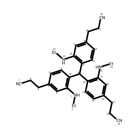 CCNc1cc(CCC#N)ccc1C(c1ccc(CCC#N)cc1NCC)c1ccc(CCC#N)cc1NCC